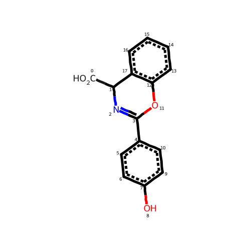 O=C(O)C1N=C(c2ccc(O)cc2)Oc2ccccc21